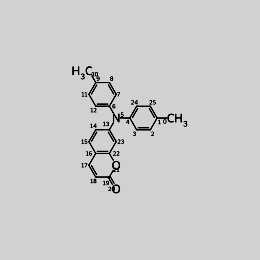 Cc1ccc(N(c2ccc(C)cc2)c2ccc3ccc(=O)oc3c2)cc1